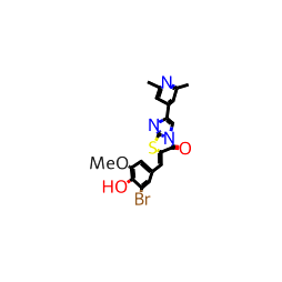 COc1cc(/C=c2\sc3nc(-c4cc(C)nc(C)c4)cn3c2=O)cc(Br)c1O